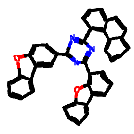 c1ccc2c(c1)ccc1cccc(-c3nc(-c4ccc5oc6ccccc6c5c4)nc(-c4cccc5c4oc4ccccc45)n3)c12